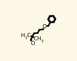 CC(C)(C=O)CCCCOCc1ccccc1